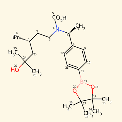 CC(C)[C@H](CCN(C(=O)O)[C@@H](C)c1ccc(B2OC(C)(C)C(C)(C)O2)cc1)CC(C)(C)O